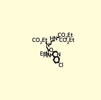 CCOC(=O)CN(CCCNC(C(=O)OCC)C(=O)OCC)CC(=O)N(CC)Nc1ccnc2cc(Cl)ccc12